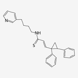 S=C(/C=C/C1(c2ccccc2)CC1c1ccccc1)NCCCCc1cccnc1